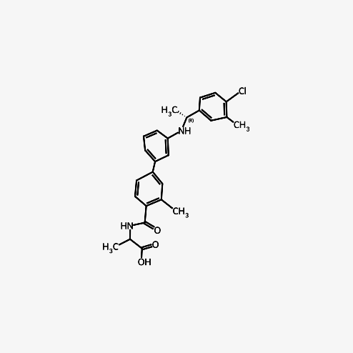 Cc1cc([C@@H](C)Nc2cccc(-c3ccc(C(=O)NC(C)C(=O)O)c(C)c3)c2)ccc1Cl